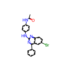 CC(=O)Nc1ccc(Nc2nc(-c3ccccc3)c3cc(Br)ccc3n2)cc1